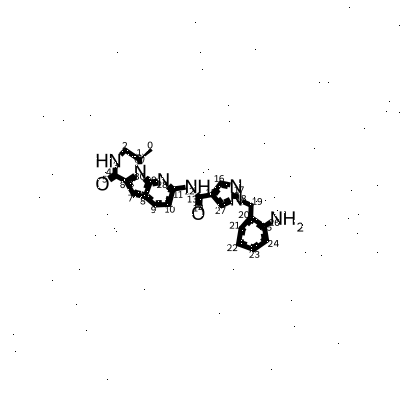 C[C@@H]1CNC(=O)c2cc3ccc(NC(=O)c4cnn(Cc5ccccc5N)c4)nc3n21